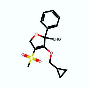 CS(=O)(=O)C1=C(OCC2CC2)C(C=O)(c2ccccc2)OC1